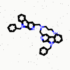 NCCCN(Cc1cc2c3ccccc3n(Cc3ccccc3)c2cn1)Cc1cc2c3ccccc3n(Cc3ccccc3)c2cn1